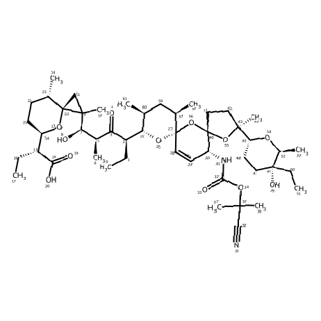 CC[C@@H](C(=O)[C@@H](C)[C@@H](O)C1(C)C[C@]12O[C@@H]([C@@H](CC)C(=O)O)CC[C@@H]2C)[C@H]1O[C@]2(C=C[C@@H](NC(=O)OC(C)(C)C#N)[C@]3(CC[C@@](C)([C@H]4CC[C@](O)(CC)[C@H](C)O4)O3)O2)[C@H](C)C[C@@H]1C